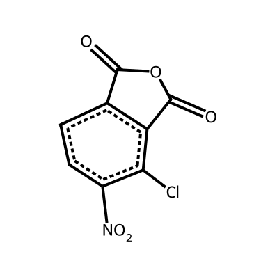 O=C1OC(=O)c2c1ccc([N+](=O)[O-])c2Cl